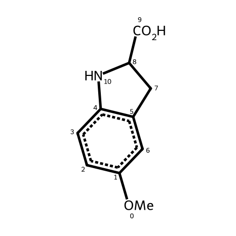 COc1ccc2c(c1)CC(C(=O)O)N2